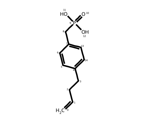 C=CCCc1ccc(CP(=O)(O)O)cc1